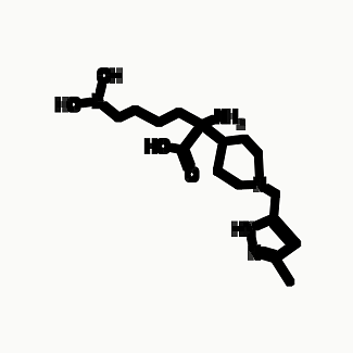 Cc1cc(CN2CCC(C(N)(CCCCB(O)O)C(=O)O)CC2)[nH]n1